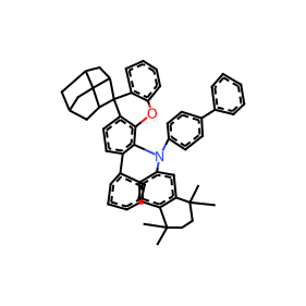 CC1(C)CCC(C)(C)c2cc(N(c3ccc(-c4ccccc4)cc3)c3c(-c4ccccc4)ccc4c3Oc3ccccc3C43C4CC5CC6CC3C64C5)ccc21